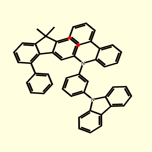 CC1(C)c2ccc(N(c3cccc(-n4c5ccccc5c5ccccc54)c3)c3ccccc3-c3ccccc3)cc2-c2c(-c3ccccc3)cccc21